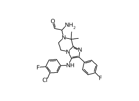 CC1(C)c2nc(-c3ccc(F)cc3)c(Nc3ccc(F)c(Cl)c3)n2CCN1C(N)C=O